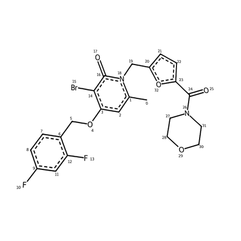 Cc1cc(OCc2ccc(F)cc2F)c(Br)c(=O)n1Cc1ccc(C(=O)N2CCOCC2)o1